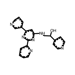 OC(CNc1cc(-c2cccnc2)nc(-c2ccccn2)n1)c1ccncc1